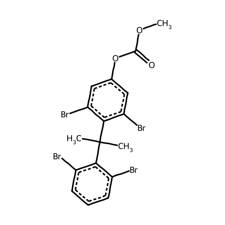 COC(=O)Oc1cc(Br)c(C(C)(C)c2c(Br)cccc2Br)c(Br)c1